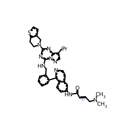 CC(C)c1cnn2c(NCc3ccccc3-c3nccc4cc(NC(=O)/C=C/CN(C)C)ccc34)nc(N3CCc4sccc4C3)nc12